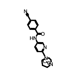 N#Cc1ccc(C(=O)Nc2ccc(N3CCN4CCC3CC4)nc2)cc1